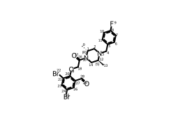 C[C@@H]1CN(Cc2ccc(F)cc2)[C@@H](C)CN1C(=O)COc1c(Br)cc(Br)cc1C=O